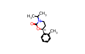 Cc1ccccc1[C@@H]1CCN(C(C)C)C(=O)O1